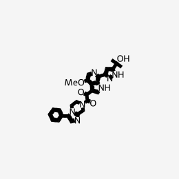 COc1cnc(-c2cc(C(C)(C)O)[nH]n2)c2[nH]cc(C(=O)C(=O)N3CCn4c(-c5ccccc5)cnc4C3)c12